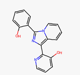 Oc1ccccc1-c1nc(-c2ncccc2O)c2ccccn12